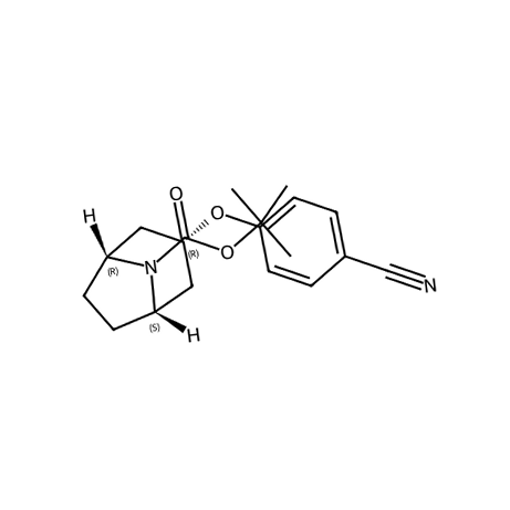 CC(C)(C)OC(=O)N1[C@@H]2CC[C@H]1C[C@@H](Oc1ccc(C#N)cc1)C2